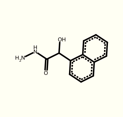 NNC(=O)C(O)c1cccc2ccccc12